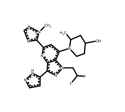 CC1CC(O)CCN1c1cc(-c2ncnn2C)nc2c(-c3ccn[nH]3)nn(CC(F)F)c12